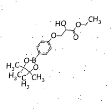 CCOC(=O)C(O)COc1ccc(B2OC(C)(C)C(C)(C)O2)cc1